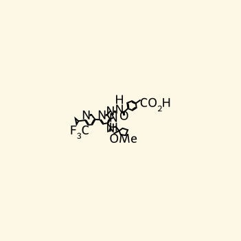 COCC1(CN(C)c2cc(-c3cnc(C4CC4)c(C(F)(F)F)c3)nc3nc(NC(=O)c4ccc(CC(=O)O)cc4)[nH]c23)CCCC1